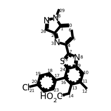 C=C1/C(=N\C(=C/C)c2nc3cc(C)c(CC(=O)O)c(-c4ccc(Cl)cc4)c3s2)C=NN1C